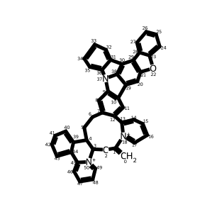 C=C1CC2C(CCc3cc4c(cc3-c3cccc[n+]31)c1cc3oc5ccccc5c3c3c5ccccc5n4c13)c1ccccc1-c1cccc[n+]12